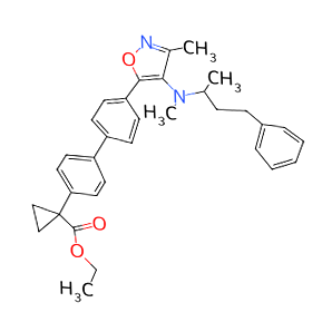 CCOC(=O)C1(c2ccc(-c3ccc(-c4onc(C)c4N(C)C(C)CCc4ccccc4)cc3)cc2)CC1